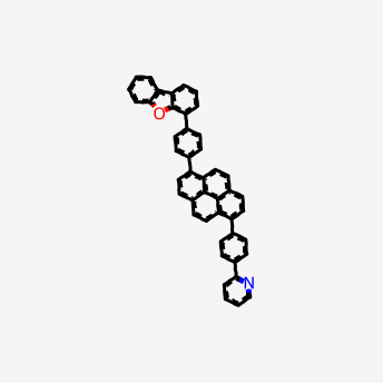 c1ccc(-c2ccc(-c3ccc4ccc5c(-c6ccc(-c7cccc8c7oc7ccccc78)cc6)ccc6ccc3c4c65)cc2)nc1